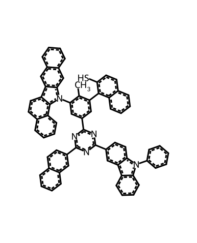 Cc1c(-c2c(S)ccc3ccccc23)cc(-c2nc(-c3ccc4ccccc4c3)nc(-c3ccc4c(c3)c3ccccc3n4-c3ccccc3)n2)cc1-n1c2cc3ccccc3cc2c2ccc3ccccc3c21